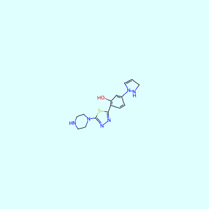 Oc1cc(N2C=CCN2)ccc1-c1nnc(N2CCNCC2)s1